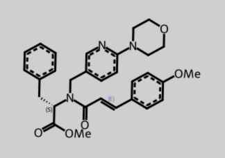 COC(=O)[C@H](Cc1ccccc1)N(Cc1ccc(N2CCOCC2)nc1)C(=O)/C=C/c1ccc(OC)cc1